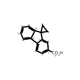 O=C(O)c1ccc2c(c1)C1(CC1)c1ccccc1-2